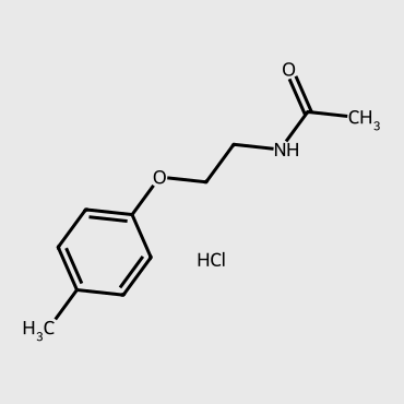 CC(=O)NCCOc1ccc(C)cc1.Cl